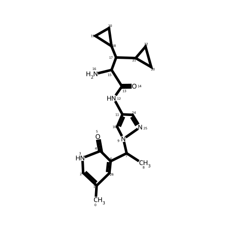 Cc1c[nH]c(=O)c(C(C)n2cc(NC(=O)C(N)C(C3CC3)C3CC3)cn2)c1